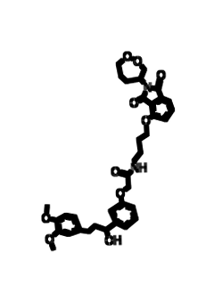 COc1ccc(CCC(O)c2cccc(OCC(=O)NCCCCOc3cccc4c3C(=O)N(C3CCCOOC3)C4=O)c2)cc1OC